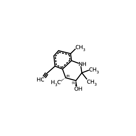 C#Cc1ccc(C)c2c1[C@@H](C)[C@H](O)C(C)(C)N2